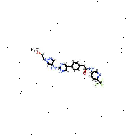 COCCn1cc(Nc2ncc(-c3ccc(CC(=O)Nc4ccc(C(F)(F)F)nc4)cc3)cn2)cn1